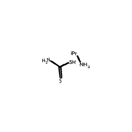 CC(C)N.NC(=S)S